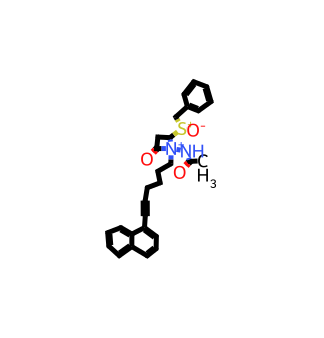 CC(=O)N[N+]1(CCCCC#Cc2cccc3ccccc23)C(=O)CC1[S+]([O-])Cc1ccccc1